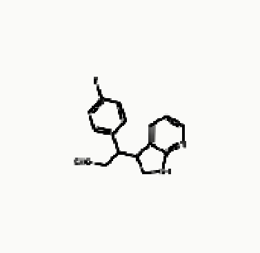 O=CCC(c1ccc(F)cc1)C1CNc2ncccc21